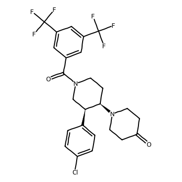 O=C1CCN([C@@H]2CCN(C(=O)c3cc(C(F)(F)F)cc(C(F)(F)F)c3)C[C@@H]2c2ccc(Cl)cc2)CC1